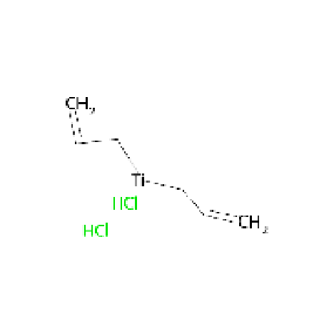 C=C[CH2][Ti][CH2]C=C.Cl.Cl